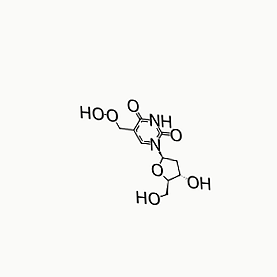 O=c1[nH]c(=O)n([C@H]2C[C@H](O)[C@@H](CO)O2)cc1COO